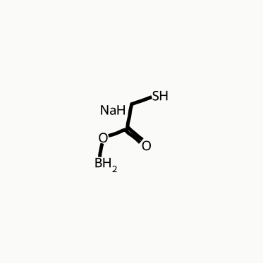 BOC(=O)CS.[NaH]